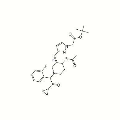 CC(=O)SC1CCN(C(C(=O)C2CC2)c2ccccc2F)C/C1=C/c1ccn(CC(=O)OC(C)(C)C)n1